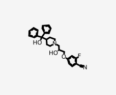 N#Cc1ccc(OC[C@@H](O)CN2CCC(C(O)(c3ccccc3)c3ccccc3)CC2)cc1F